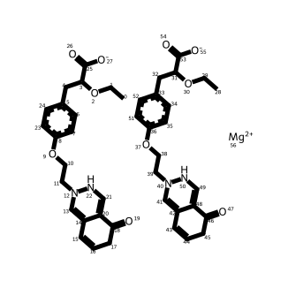 CCOC(Cc1ccc(OCCN2C=C3C=CCC(=O)C3=CN2)cc1)C(=O)[O-].CCOC(Cc1ccc(OCCN2C=C3C=CCC(=O)C3=CN2)cc1)C(=O)[O-].[Mg+2]